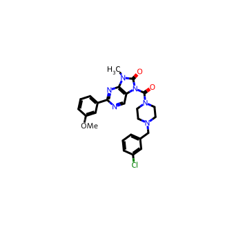 COc1cccc(-c2ncc3c(n2)n(C)c(=O)n3C(=O)N2CCN(Cc3cccc(Cl)c3)CC2)c1